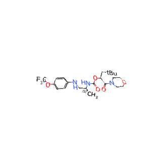 C[C@@H](CNc1ccc(OC(F)(F)F)cc1)NC(=O)OC(CC(C)(C)C)C(=O)N1CCOCC1